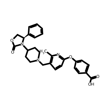 Cc1nc(Oc2ccc(C(=O)O)cc2)ccc1CN1CCC(N2C(=O)OC[C@H]2c2ccccc2)CC1